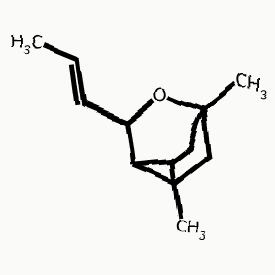 CC=CC1OC2(C)CCC1C(C)C2